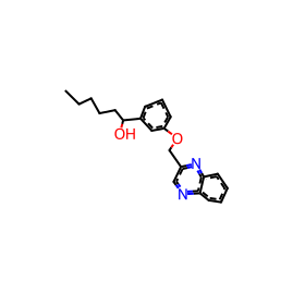 CCCCCC(O)c1cccc(OCc2cnc3ccccc3n2)c1